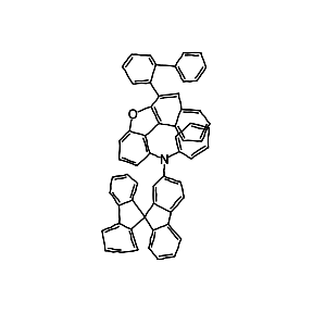 c1ccc(-c2ccccc2-c2cc3ccccc3c3c2oc2cccc(N(c4ccccc4)c4ccc5c(c4)C4(c6ccccc6-c6ccccc64)c4ccccc4-5)c23)cc1